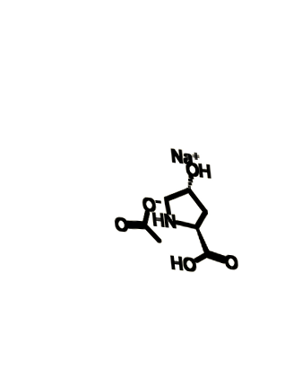 CC(=O)[O-].O=C(O)[C@@H]1C[C@@H](O)CN1.[Na+]